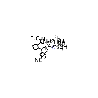 [2H]C([2H])([2H])N(C/C=C/C(=O)N1Cc2sc(C#N)cc2C(c2ccccc2-c2cn(CC)nc2C(F)(F)F)C1)C([2H])([2H])[2H]